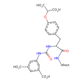 CCCCCNC(=O)C(Cc1ccc(OC(C(=O)O)C(=O)O)cc1)NC(=O)Nc1cc(C(=O)O)cc(C(=O)O)c1